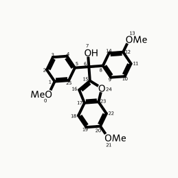 COc1cccc(C(O)(c2cccc(OC)c2)c2cc3ccc(OC)cc3o2)c1